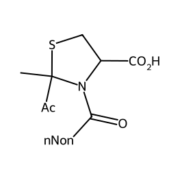 CCCCCCCCCC(=O)N1C(C(=O)O)CSC1(C)C(C)=O